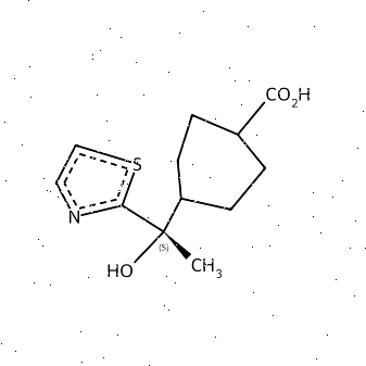 C[C@@](O)(c1nccs1)C1CCC(C(=O)O)CC1